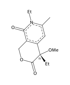 CCn1c(C)cc2c(c1=O)COC(=O)[C@@]2(CC)OC